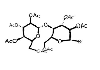 CC(=O)OCC1O[C@@H](O[C@@H]2C(COC(C)=O)O[C@H](Br)C(OC(C)=O)[C@H]2OC(C)=O)C(OC(C)=O)[C@@H](OC(C)=O)[C@@H]1OC(C)=O